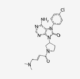 CN(C)CC=CC(=O)N1CCC(n2c(=O)n(-c3ccc(Cl)cc3)c3c(N)ncnc32)C1